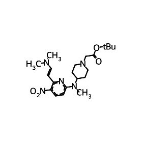 CN(C)/C=C/c1nc(N(C)C2CCN(CC(=O)OC(C)(C)C)CC2)ccc1[N+](=O)[O-]